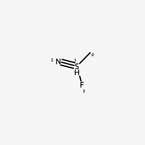 C[SH](#N)F